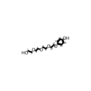 OCCOCCOCCOCCOc1ccc(O)cc1